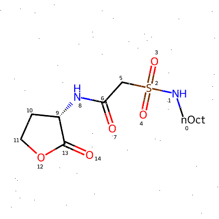 CCCCCCCCNS(=O)(=O)CC(=O)N[C@H]1CCOC1=O